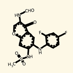 CS(=O)(=O)Nc1cc2occ(NC=O)c(=O)c2cc1Nc1ccc(F)cc1F